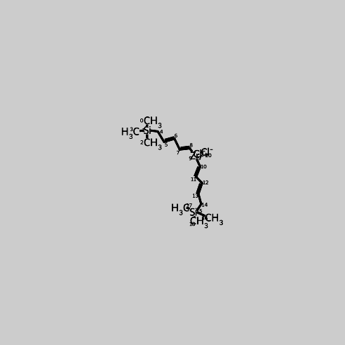 C[Si](C)(C)CC=CC=[CH][Zr+2][CH]=CC=CC[Si](C)(C)C.[Cl-].[Cl-]